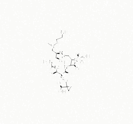 CN(CCCN)Cc1cnn(CC2C(NC(=O)/C(=N\OC3(C(=O)O)CC3)C3=CSC(N)N3)C(=O)N2S(=O)(=O)O)n1